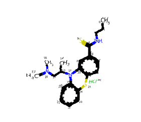 CCCNC(=S)c1ccc2c(c1)N(C(C)CN(C)C)c1ccccc1S2.Cl